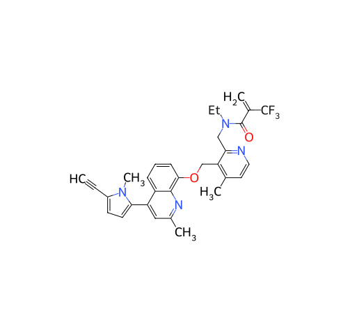 C#Cc1ccc(-c2cc(C)nc3c(OCc4c(C)ccnc4CN(CC)C(=O)C(=C)C(F)(F)F)cccc23)n1C